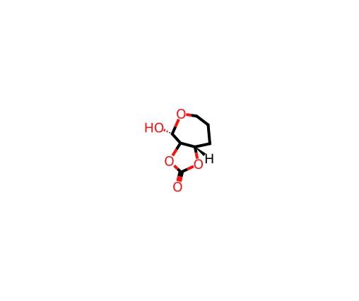 O=C1OC2[C@H](O)OCCC[C@@H]2O1